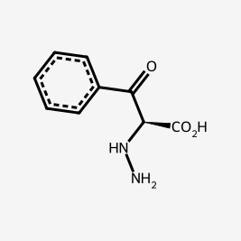 NN[C@H](C(=O)O)C(=O)c1ccccc1